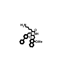 COc1c(CC2NC(=O)C(CCCCN)N(Cc3ccc(-c4ccccc4)cc3)C2=O)ccc2ccccc12